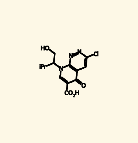 CC(C)C(CO)n1cc(C(=O)O)c(=O)c2cc(Cl)nnc21